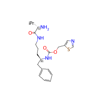 CC(C)[C@H](N)C(=O)NCCC[C@H](Cc1ccccc1)NC(=O)OCc1cncs1